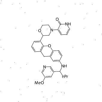 CCCC(Nc1ccc2c(c1)Cc1cccc(C3CN(c4ccc[nH]c4=O)CCO3)c1O2)c1cncc(OC)c1